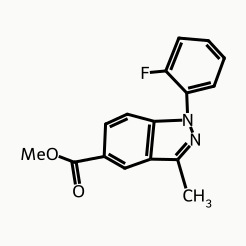 COC(=O)c1ccc2c(c1)c(C)nn2-c1ccccc1F